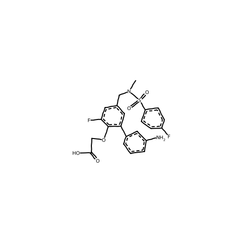 CN(Cc1cc(F)c(OCC(=O)O)c(-c2cccc(N)c2)c1)S(=O)(=O)c1ccc(F)cc1